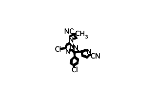 CC1(C#N)CN(c2cc(Cl)nc3c(-c4ccc(Cl)cc4)c(-c4ccc(C#N)nc4)nn23)C1